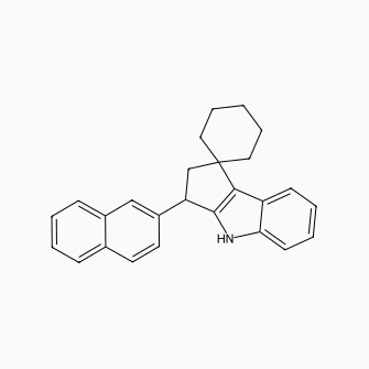 c1ccc2cc(C3CC4(CCCCC4)c4c3[nH]c3ccccc43)ccc2c1